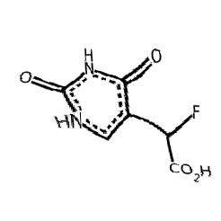 O=C(O)C(F)c1c[nH]c(=O)[nH]c1=O